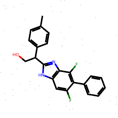 Cc1ccc(C(CO)c2nc3c(F)c(-c4ccccc4)c(F)cc3[nH]2)cc1